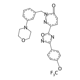 O=c1ccc(-c2nc(-c3ccc(OC(F)(F)F)cc3)no2)nn1Cc1cccc(N2CCOCC2)c1